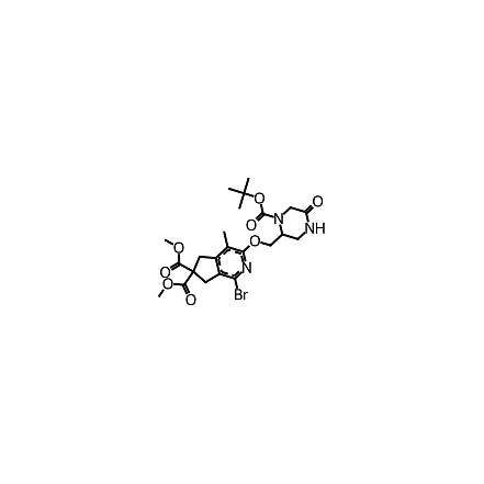 COC(=O)C1(C(=O)OC)Cc2c(Br)nc(OCC3CNC(=O)CN3C(=O)OC(C)(C)C)c(C)c2C1